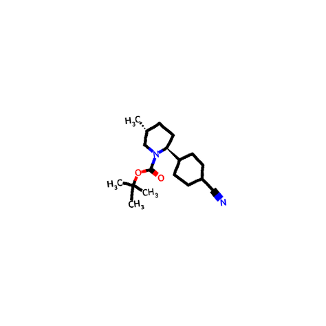 C[C@@H]1CC[C@@H](C2CCC(C#N)CC2)N(C(=O)OC(C)(C)C)C1